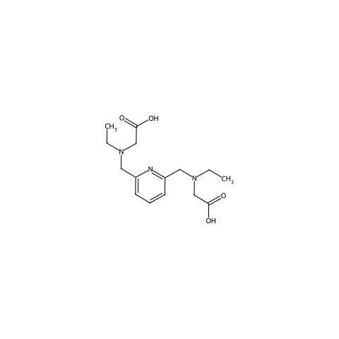 CCN(CC(=O)O)Cc1cccc(CN(CC)CC(=O)O)n1